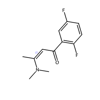 C/C(=C/C(=O)c1cc(F)ccc1F)N(C)C